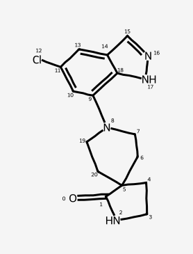 O=C1NCCC12CCN(c1cc(Cl)cc3cn[nH]c13)CC2